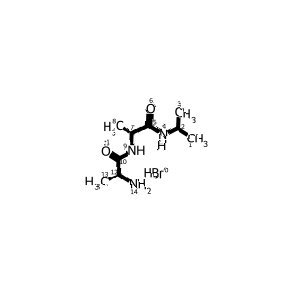 Br.CC(C)NC(=O)[C@H](C)NC(=O)[C@H](C)N